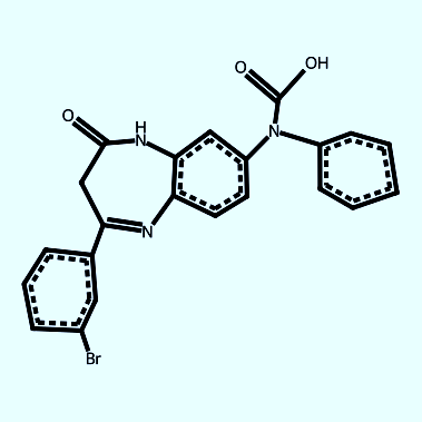 O=C1CC(c2cccc(Br)c2)=Nc2ccc(N(C(=O)O)c3ccccc3)cc2N1